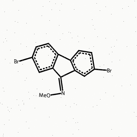 CON=C1c2cc(Br)ccc2-c2ccc(Br)cc21